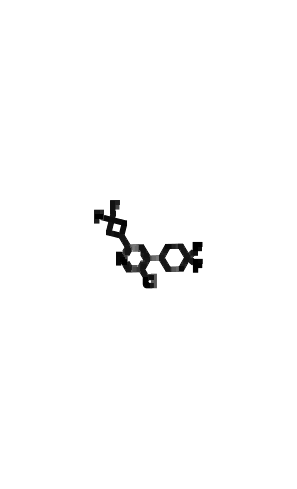 FC1(F)CCC(c2cc(C3CC(F)(F)C3)ncc2Cl)CC1